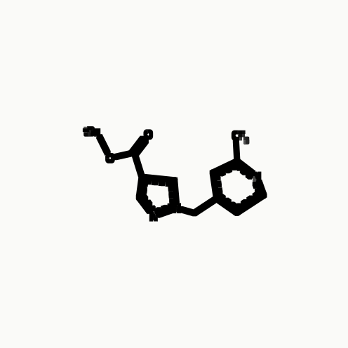 CC(C)(C)OC(=O)c1cnn(Cc2ccnc(C(F)(F)F)c2)c1